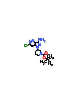 CC(C)(C)OC(=O)N1CCCC(n2nc(N)c3nnc(Cl)cc32)C1